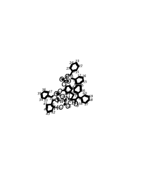 CC(Cc1ccc(OP(=O)(OCc2ccccc2)OCc2ccccc2)c(OP(=O)(OCc2ccccc2)OCc2ccccc2)c1)(NNC(=O)O)C(=O)C(c1ccccc1)c1ccccc1